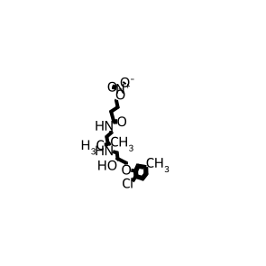 Cc1ccc(Cl)c(OCC(O)CNC(C)(C)CCNC(=O)CCCO[N+](=O)[O-])c1